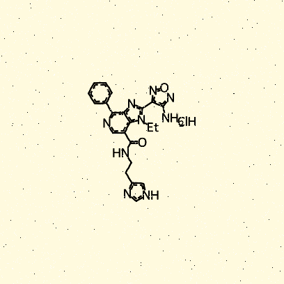 CCn1c(-c2nonc2N)nc2c(-c3ccccc3)ncc(C(=O)NCCc3c[nH]cn3)c21.Cl